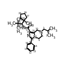 CC(C)CN1CCn2c(-c3ccccc3)nc(C(=O)NC(C(C)(C)C)C3(C)CCCC3)c2C1